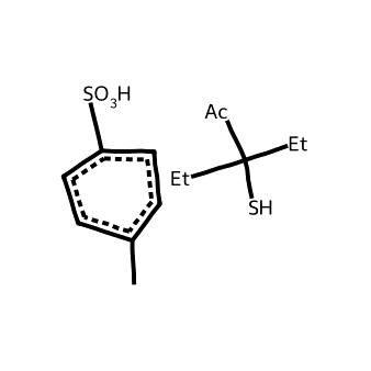 CCC(S)(CC)C(C)=O.Cc1ccc(S(=O)(=O)O)cc1